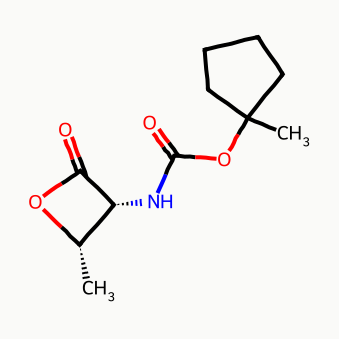 C[C@@H]1OC(=O)[C@@H]1NC(=O)OC1(C)CCCC1